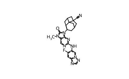 Cn1c(=O)n(C23CC4CC5(C#N)CC(C2)C5(C4)C3)c2nc(Nc3cn4ncnc4cc3F)ncc21